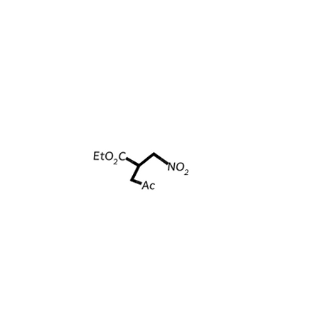 CCOC(=O)C(CC(C)=O)C[N+](=O)[O-]